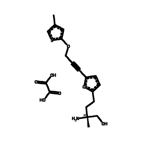 Cc1csc(OCC#Cc2ccc(CC[C@@](C)(N)CO)o2)c1.O=C(O)C(=O)O